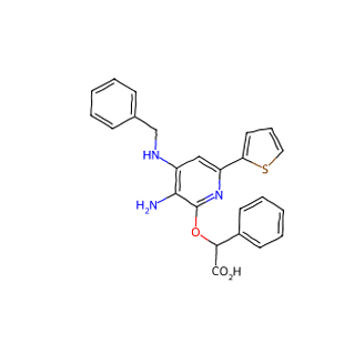 Nc1c(NCc2ccccc2)cc(-c2cccs2)nc1OC(C(=O)O)c1ccccc1